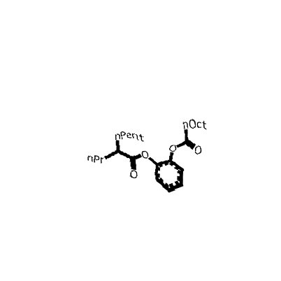 CCCCCCCCC(=O)Oc1ccccc1OC(=O)C(CCC)CCCCC